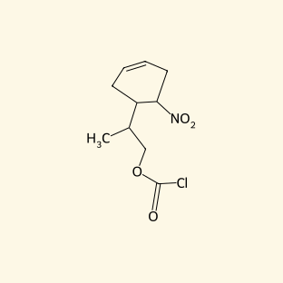 CC(COC(=O)Cl)C1CC=CCC1[N+](=O)[O-]